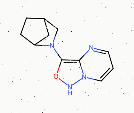 C1=CN2NOC(N3CC4CCC3C4)=C2N=C1